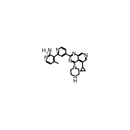 Cc1ccnc(N)c1-c1cc(-c2nc(N3CCNCC3)c3c(C4CC4)cncc3n2)ccn1